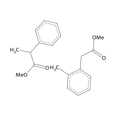 COC(=O)C(C)c1ccccc1.COC(=O)Cc1ccccc1C